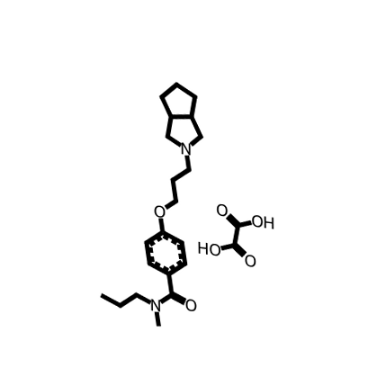 CCCN(C)C(=O)c1ccc(OCCCN2CC3CCCC3C2)cc1.O=C(O)C(=O)O